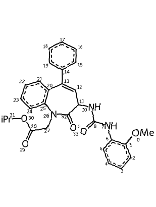 COc1ccccc1NC(=O)NC1C=C(c2ccccc2)c2ccccc2N(CC(=O)OC(C)C)C1=O